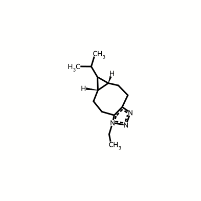 CCn1nnc2c1CC[C@@H]1C(C(C)C)[C@@H]1CC2